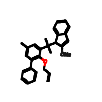 C=CCOc1c(-c2ccccc2)cc(C)cc1[Si](C)(C)C1C(OC)=Cc2ccccc21